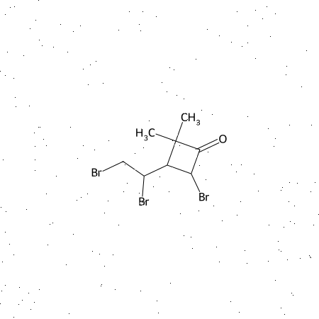 CC1(C)C(=O)C(Br)C1C(Br)CBr